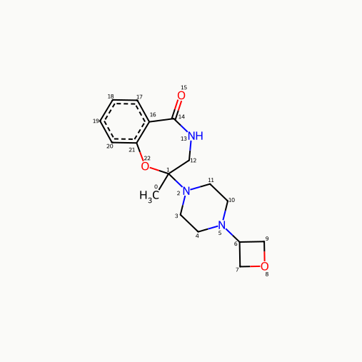 CC1(N2CCN(C3COC3)CC2)CNC(=O)c2ccccc2O1